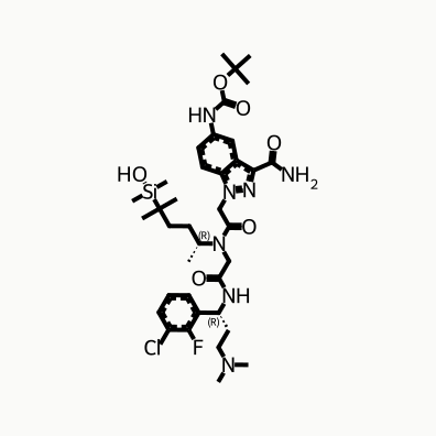 C[C@H](CCC(C)(C)[Si](C)(C)O)N(CC(=O)N[C@H](CCN(C)C)c1cccc(Cl)c1F)C(=O)Cn1nc(C(N)=O)c2cc(NC(=O)OC(C)(C)C)ccc21